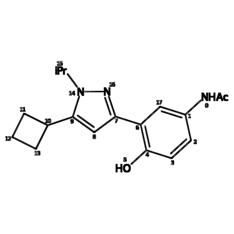 CC(=O)Nc1ccc(O)c(-c2cc(C3CCC3)n(C(C)C)n2)c1